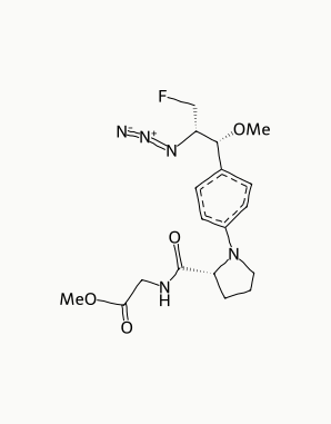 COC(=O)CNC(=O)[C@H]1CCCN1c1ccc([C@@H](OC)[C@@H](CF)N=[N+]=[N-])cc1